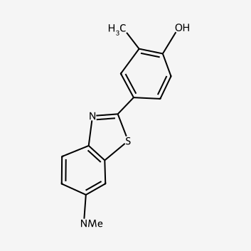 CNc1ccc2nc(-c3ccc(O)c(C)c3)sc2c1